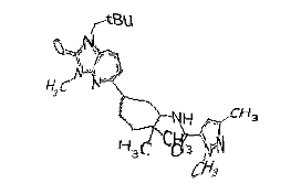 Cc1cc(C(=O)NC2CC(c3ccc4c(n3)n(C)c(=O)n4CC(C)(C)C)CCC2(C)C)n(C)n1